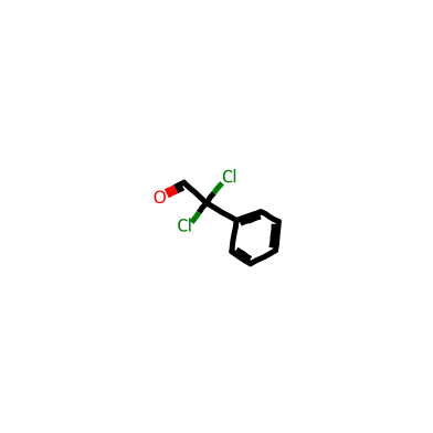 O=CC(Cl)(Cl)c1ccccc1